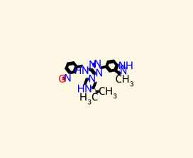 Cc1n[nH]c2ccc(-c3nnc(NCc4cccc(N=O)c4)c(N4CCN[C@@H](C(C)C)C4)n3)cc12